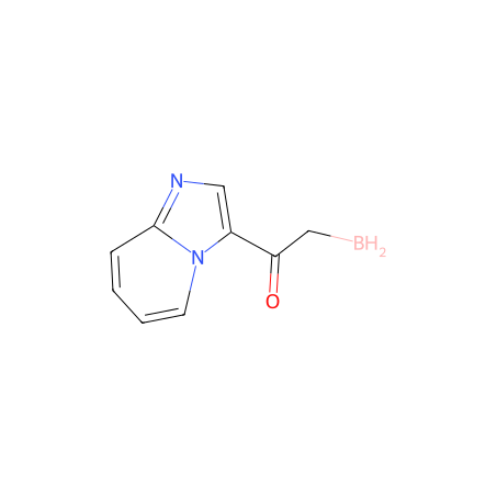 BCC(=O)c1cnc2ccccn12